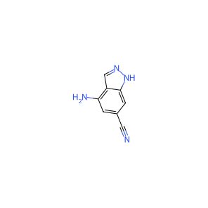 N#Cc1cc(N)c2cn[nH]c2c1